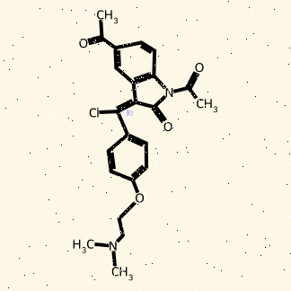 CC(=O)c1ccc2c(c1)/C(=C(\Cl)c1ccc(OCCN(C)C)cc1)C(=O)N2C(C)=O